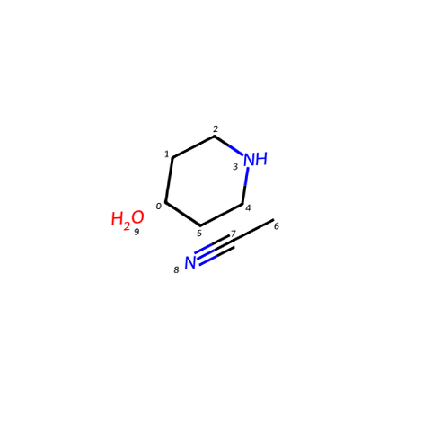 C1CCNCC1.CC#N.O